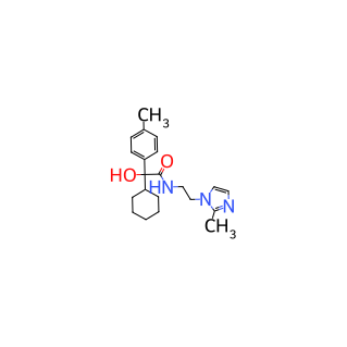 Cc1ccc(C(O)(C(=O)NCCn2ccnc2C)C2CCCCC2)cc1